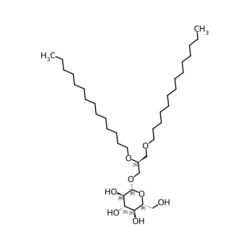 CCCCCCCCCCCCCCOC[C@@H](CO[C@@H]1O[C@H](CO)[C@@H](O)[C@H](O)[C@H]1O)OCCCCCCCCCCCCCC